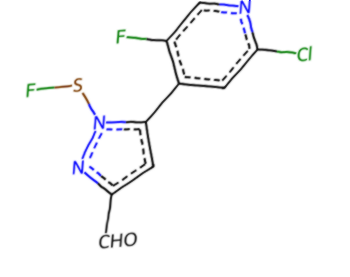 O=Cc1cc(-c2cc(Cl)ncc2F)n(SF)n1